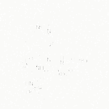 CC(C)(C)OC(=O)N[C@H](C(=O)N1C[C@H](Oc2nc(-c3ccccc3)nc3ccccc23)CC1C(=O)N[C@]1(C(=O)NS(=O)(=O)C2CC2)C[C@H]1I)C(C)(C)C